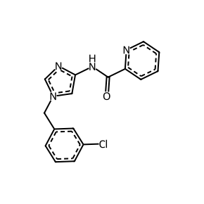 O=C(Nc1cn(Cc2cccc(Cl)c2)cn1)c1ccccn1